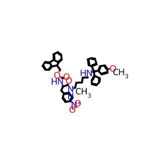 COc1ccc(C(NCCCCC(C)NC(=O)C(Cc2ccc([N+](=O)[O-])cc2)NC(=O)OCC2c3ccccc3-c3ccccc32)(c2ccccc2)c2ccccc2)cc1